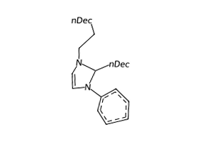 CCCCCCCCCCCCN1C=CN(c2ccccc2)C1CCCCCCCCCC